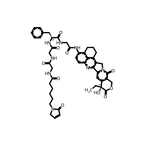 CC[C@@]1(O)C(=O)OCc2c1cc1n(c2=O)Cc2c-1nc1ccc(NC(=O)CNC(=O)[C@H](Cc3ccccc3)NC(=O)CNC(=O)CNC(=O)CCCCCN3CC=CC3=O)c3c1c2CCC3